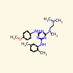 COc1ccc(Nc2nc(Nc3cc(C)ccc3C)nc(N(C)CCN(C)C)n2)cc1